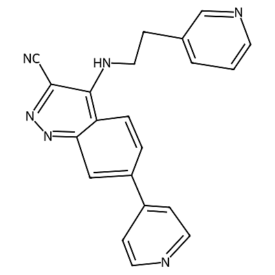 N#Cc1nnc2cc(-c3ccncc3)ccc2c1NCCc1cccnc1